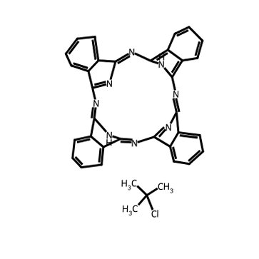 CC(C)(C)Cl.c1ccc2c(c1)-c1nc-2nc2[nH]c(nc3nc(nc4[nH]c(n1)c1ccccc41)-c1ccccc1-3)c1ccccc21